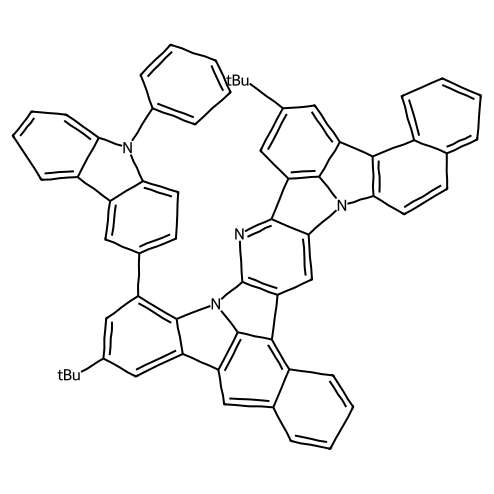 CC(C)(C)c1cc(-c2ccc3c(c2)c2ccccc2n3-c2ccccc2)c2c(c1)c1cc3ccccc3c3c4cc5c(nc4n2c13)c1cc(C(C)(C)C)cc2c3c4ccccc4ccc3n5c12